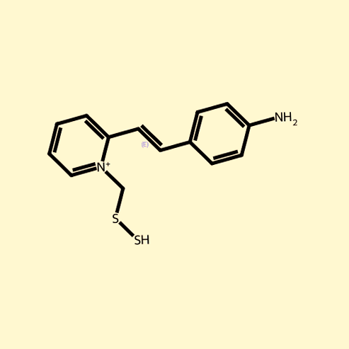 Nc1ccc(/C=C/c2cccc[n+]2CSS)cc1